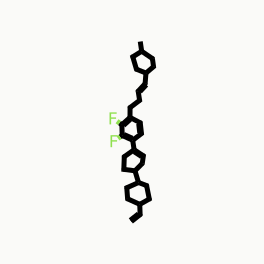 C=CC1CCC(C2CC=C(c3ccc(CC/C=C/C4CCC(C)CC4)c(F)c3F)CC2)CC1